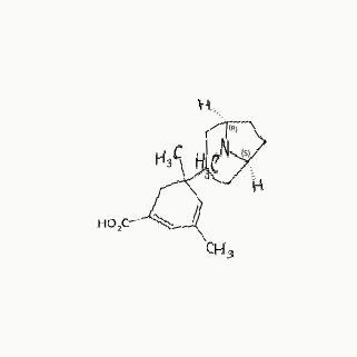 CC1=CC(C)(C2C[C@H]3CC[C@@H](C2)N3C)CC(C(=O)O)=C1